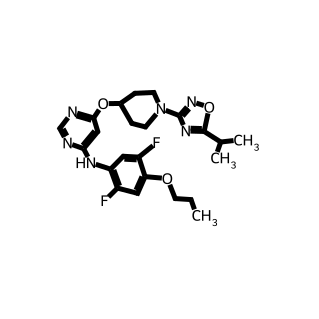 CCCOc1cc(F)c(Nc2cc(OC3CCN(c4noc(C(C)C)n4)CC3)ncn2)cc1F